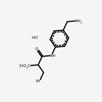 CCOC(=O)C(CC(C)C)C(=O)Nc1ccc(CN)cc1.Cl